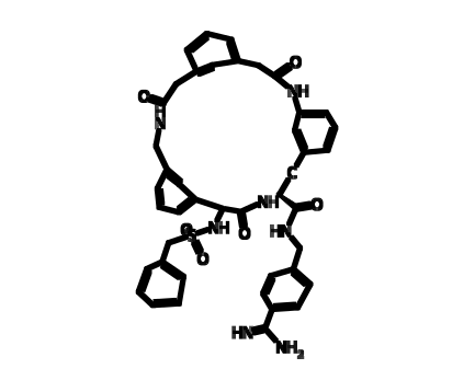 N=C(N)c1ccc(CNC(=O)[C@@H]2Cc3cccc(c3)NC(=O)Cc3cccc(c3)CC(=O)NCc3cccc(c3)C(NS(=O)(=O)Cc3ccccc3)C(=O)N2)cc1